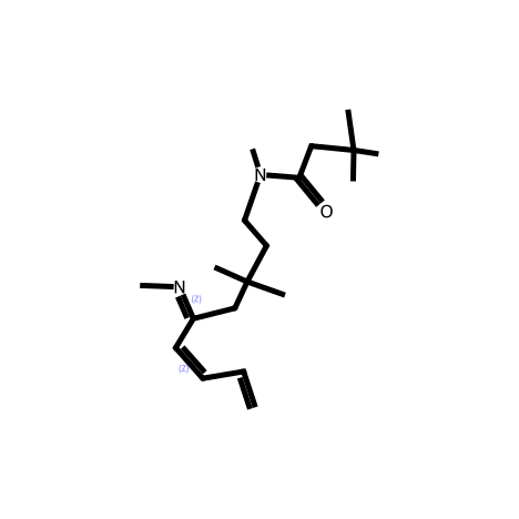 C=C/C=C\C(CC(C)(C)CCN(C)C(=O)CC(C)(C)C)=N/C